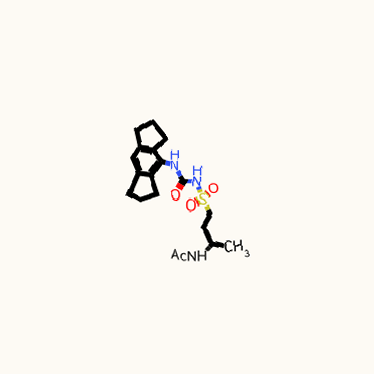 CC(=O)NC(C)CCS(=O)(=O)NC(=O)Nc1c2c(cc3c1CCC3)CCC2